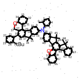 Cc1ccccc1N(c1ccc2c(c1)C(C)(C)c1cc(-c3ccccc3C(C)(C)C)c3c(c1-2)-c1ccccc1OC3)c1ccc2c(c1)C(C)(C)c1c3c(c4c(oc5ccccc54)c1-2)-c1ccccc1C3(C)C